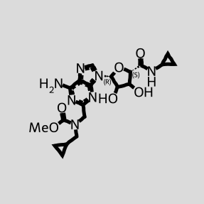 COC(=O)N(Cc1nc(N)c2ncn([C@@H]3O[C@H](C(=O)NC4CC4)C(O)C3O)c2n1)CC1CC1